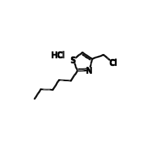 CCCCCc1nc(CCl)cs1.Cl